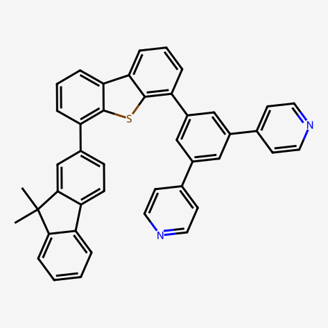 CC1(C)c2ccccc2-c2ccc(-c3cccc4c3sc3c(-c5cc(-c6ccncc6)cc(-c6ccncc6)c5)cccc34)cc21